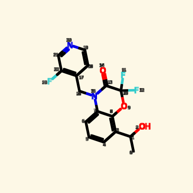 CC(O)c1cccc2c1OC(F)(F)C(=O)N2Cc1ccncc1F